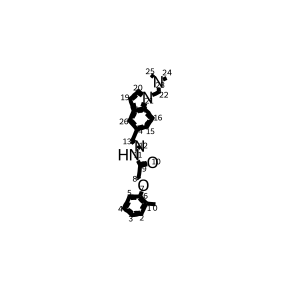 Cc1ccccc1OCC(=O)N/N=C/c1ccc2c(ccn2CN(C)C)c1